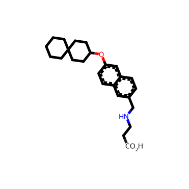 O=C(O)CCNCc1ccc2cc(OC3CCC4(CCCCC4)CC3)ccc2c1